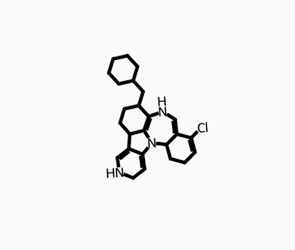 ClC1=CCCC2C1=CNC1=C3C(CCC1CC1CCCCC1)C1=CNCC=C1N32